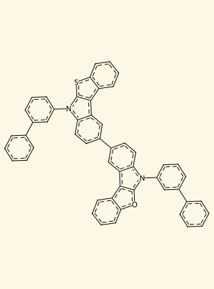 c1ccc(-c2cccc(-n3c4ccc(-c5ccc6c(c5)c5c7ccccc7sc5n6-c5cccc(-c6ccccc6)c5)cc4c4c5ccccc5oc43)c2)cc1